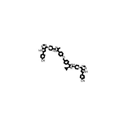 Cc1nc(C2CCN(c3ncnc4[nH]c(-c5ccc(C#N)cc5)cc34)CC2)[nH]c1-c1ccc(OCc2ccc(-c3[nH]c(C4CCN(c5ncnc6[nH]c(-c7ccc(C#N)cc7)cc56)CC4)nc3C3CC3)cc2)cc1